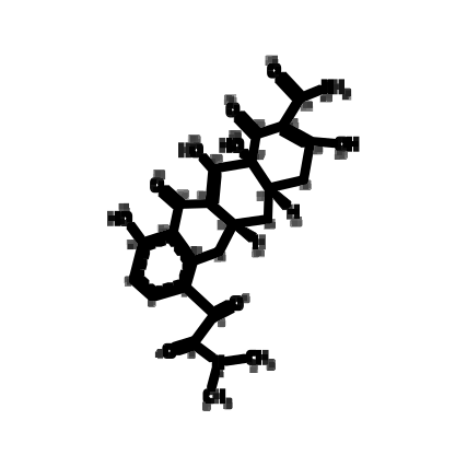 CN(C)C(=O)C(=O)c1ccc(O)c2c1C[C@H]1C[C@H]3CC(O)=C(C(N)=O)C(=O)[C@@]3(O)C(O)=C1C2=O